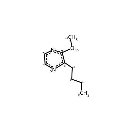 CCCCc1nccnc1OC